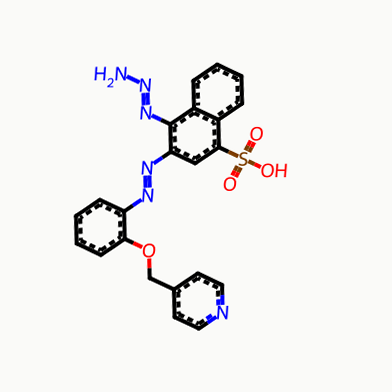 NN=Nc1c(/N=N/c2ccccc2OCc2ccncc2)cc(S(=O)(=O)O)c2ccccc12